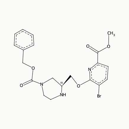 COC(=O)c1ccc(Br)c(OC[C@@H]2CN(C(=O)OCc3ccccc3)CCN2)n1